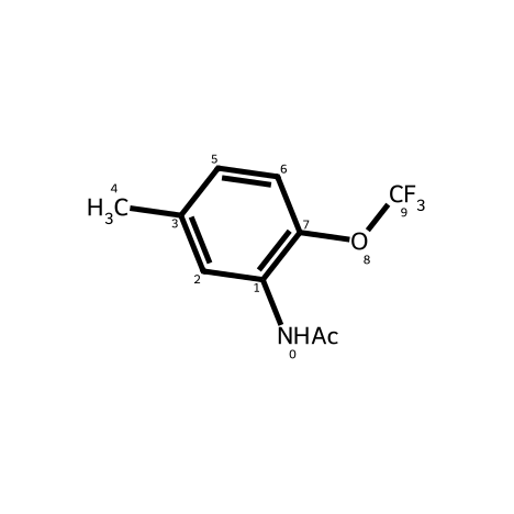 CC(=O)Nc1cc(C)ccc1OC(F)(F)F